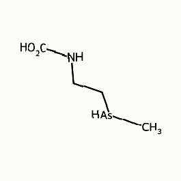 C[AsH]CCNC(=O)O